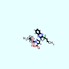 C=CCC(F)(F)c1nc2ccccc2nc1C[C@@H]1C[C@@H](C(=O)O)N(C(=O)OC(C)(C)C)C1